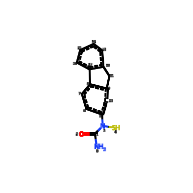 NC(=O)N(S)c1ccc2c(c1)Cc1ccccc1-2